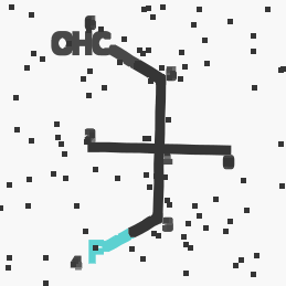 CC(C)(CF)CC=O